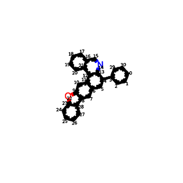 c1ccc(-c2cc3cc4c(cc3c3c2ncc2ccccc23)oc2ccccc24)cc1